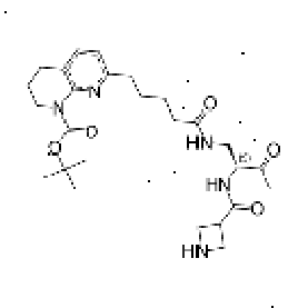 CC(=O)[C@H](CNC(=O)CCCCc1ccc2c(n1)N(C(=O)OC(C)(C)C)CCC2)NC(=O)C1CNC1